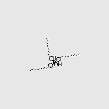 CCCCCCCCCc1ccc([PH](O)(c2ccc(CCCCCCCCC)cc2)c2ccc(CCCCCCCCC)cc2)cc1